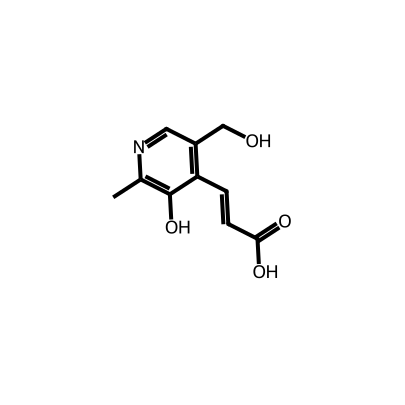 Cc1ncc(CO)c(/C=C/C(=O)O)c1O